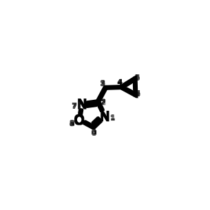 c1nc(CC2CC2)no1